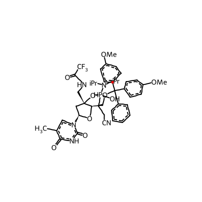 COc1ccc(C(OC[C@H]2O[C@@H](n3cc(C)c(=O)[nH]c3=O)C[C@]2(CNC(=O)C(F)(F)F)O[PH](O)(CCC#N)N(C(C)C)C(C)C)(c2ccccc2)c2ccc(OC)cc2)cc1